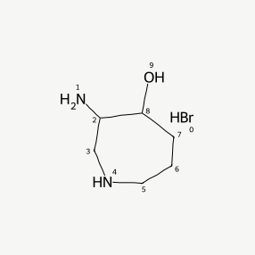 Br.NC1CNCCCC1O